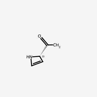 CC(=O)[C@@H]1C=CN1